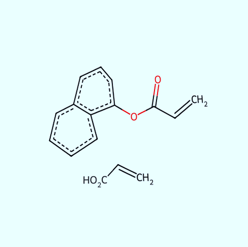 C=CC(=O)O.C=CC(=O)Oc1cccc2ccccc12